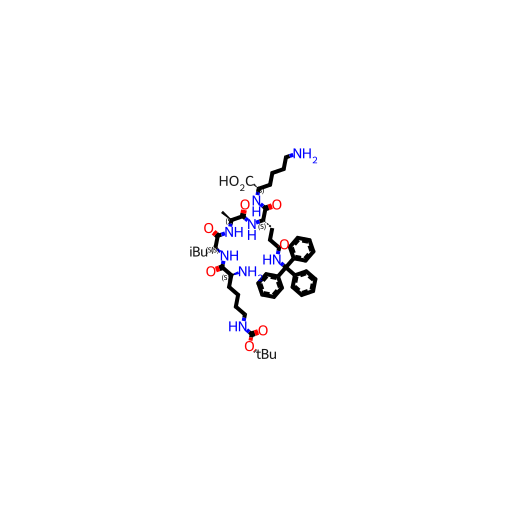 CC[C@H](C)[C@H](NC(=O)[C@@H](N)CCCCNC(=O)OC(C)(C)C)C(=O)N[C@@H](C)C(=O)N[C@@H](CCC(=O)NC(c1ccccc1)(c1ccccc1)c1ccccc1)C(=O)N[C@@H](CCCCN)C(=O)O